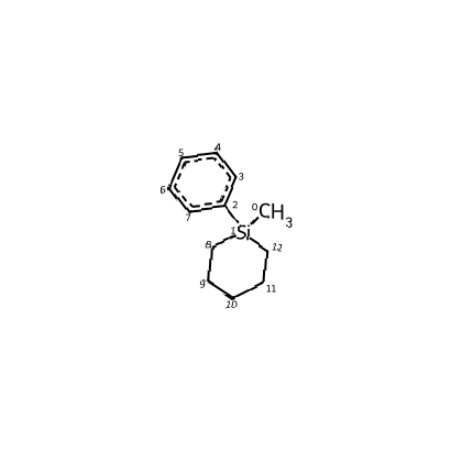 C[Si]1(c2ccccc2)CCCCC1